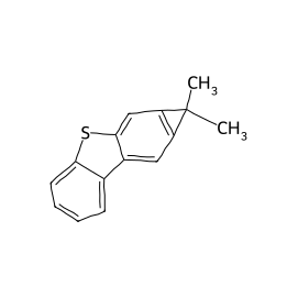 CC1(C)c2cc3sc4ccccc4c3cc21